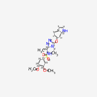 CCn1c(Oc2ccc3cc[nH]c3c2)nnc1[C@@H](C)NS(=O)(=O)c1ccc(OC)c(OC)c1